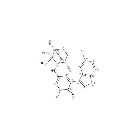 Cn1cc(NC2[C@H]3CC[C@H](CC3)[C@@H]2C(=O)O)cc(-c2c[nH]c3ncc(F)cc23)c1=O